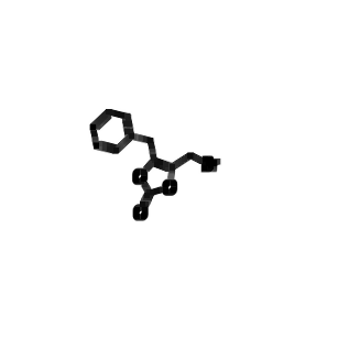 O=c1oc(CBr)c(Cc2ccccc2)o1